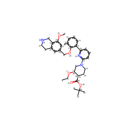 CCO[C@H]1CN(c2cccc(-c3cccc(C)c3OCc3cc4c(c(OC)c3)CNCC4)n2)CC[C@H]1C(=O)OC(C)(C)C